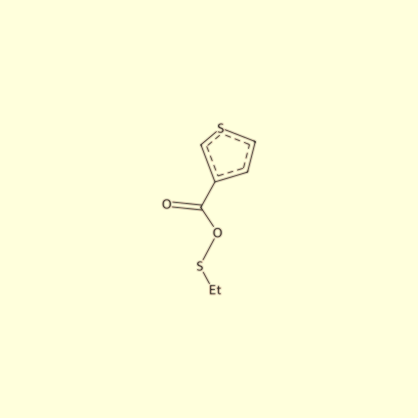 CCSOC(=O)c1ccsc1